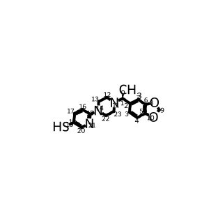 C[C@@H](c1ccc2c(c1)OCO2)N1CCN(c2ccc(S)cn2)CC1